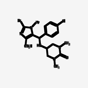 CC(C)n1c(Br)nc(C(=O)O)c1C(NC1CN(C)C(=O)N(C)C1)c1ccc(Cl)cc1